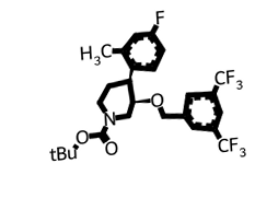 Cc1cc(F)ccc1[C@@H]1CCN(C(=O)OC(C)(C)C)C[C@@H]1OCc1cc(C(F)(F)F)cc(C(F)(F)F)c1